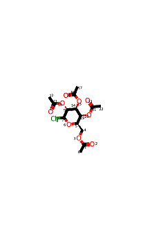 CC(=O)OC[C@H]1OC(Cl)[C@H](OC(C)=O)[C@@H](OC(C)=O)[C@H]1OC(C)=O